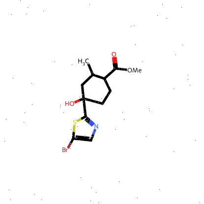 COC(=O)C1CCC(O)(c2ncc(Br)s2)CC1C